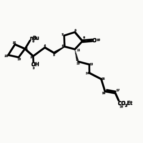 CCCCC1(C(O)CC[C@H]2CCC(=O)[C@@H]2CCCCC=CC(=O)OCC)CCC1